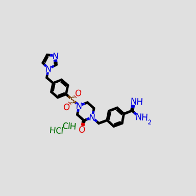 Cl.Cl.N=C(N)c1ccc(CN2CCN(S(=O)(=O)c3ccc(Cn4ccnc4)cc3)CC2=O)cc1